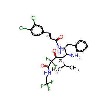 CC(C)[C@H](C(=O)C(F)(F)C(=O)NCC(F)(F)F)C(N)[C@H](Cc1ccccc1)NC(=O)/C=C/c1ccc(Cl)c(Cl)c1